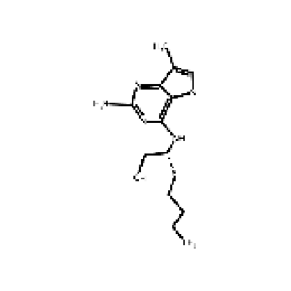 CCCCC[C@H](CO)Nc1nc(N)nc2c(C)csc12